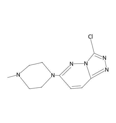 CN1CCN(c2ccc3nnc(Cl)n3n2)CC1